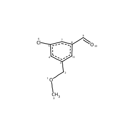 COCc1cc(Cl)cc(C=O)c1